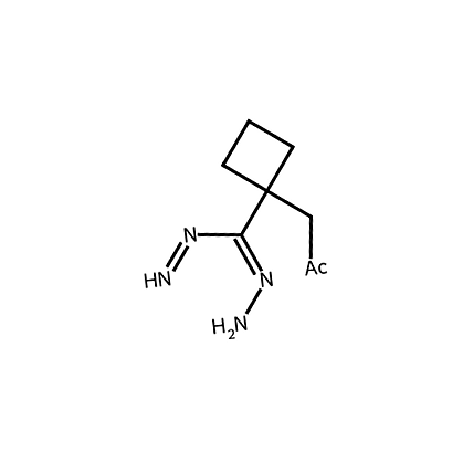 CC(=O)CC1(/C(N=N)=N/N)CCC1